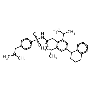 CC(C)c1cc(C2CCCc3ccccc32)cc(C(C)C)c1CC(=O)NS(=O)(=O)c1ccc(CN(C)C)cc1